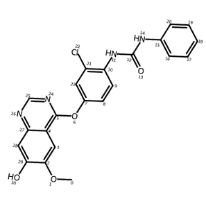 COc1cc2c(Oc3ccc(NC(=O)Nc4ccccc4)c(Cl)c3)ncnc2cc1O